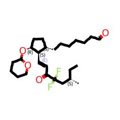 CC[C@H](C)CC(F)(F)C(=O)/C=C/[C@@H]1[C@@H](CCCCCCC=O)CC[C@H]1OC1CCCCO1